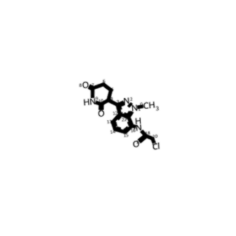 Cn1nc(C2CCC(=O)NC2=O)c2cccc(NC(=O)CCl)c21